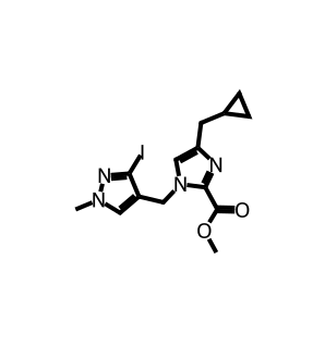 COC(=O)c1nc(CC2CC2)cn1Cc1cn(C)nc1I